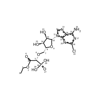 CCOC(=O)[C@H](OC[C@H]1O[C@@H](n2cnc3c(N)nc(Cl)nc32)[C@H](O)[C@@H]1O)P(=O)(O)O